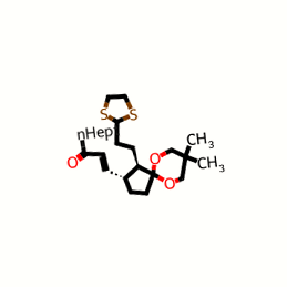 CCCCCCCC(=O)C=C[C@H]1CCC2(OCC(C)(C)CO2)[C@@H]1CCC1SCCS1